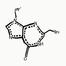 CC(C)c1nc2c(ncn2C(C)C)c(=O)[nH]1